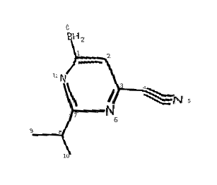 Bc1cc(C#N)nc(C(C)C)n1